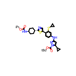 CC(C)OC(=O)N[C@H]1CC[C@H](c2ncc(-c3ccc(Nc4cc(C5CC5)n(C(=O)OC(C)(C)C)n4)cc3SC3CC3)s2)CC1